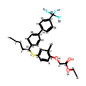 CCCC[C@H](Sc1ccc(OCC(=O)OCC)c(C)c1)c1ccc(-c2ccc(C(F)(F)F)cc2)cc1